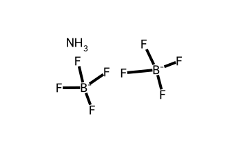 F[B-](F)(F)F.F[B-](F)(F)F.N